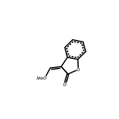 COC=C1C(=O)Oc2ccccc21